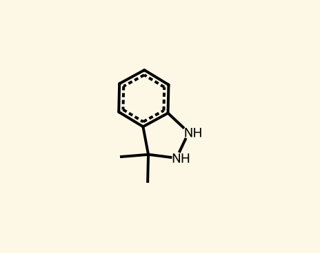 CC1(C)NNc2ccccc21